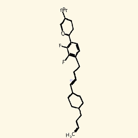 C=CCCC1CCC(/C=C/CCc2ccc(C3CCC(CCC)CO3)c(F)c2F)CC1